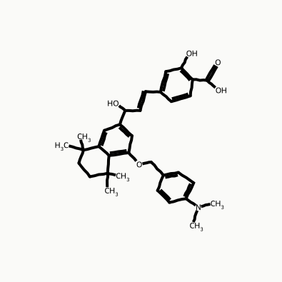 CN(C)c1ccc(COc2cc(C(O)C=Cc3ccc(C(=O)O)c(O)c3)cc3c2C(C)(C)CCC3(C)C)cc1